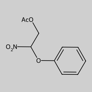 CC(=O)OCC(Oc1ccccc1)[N+](=O)[O-]